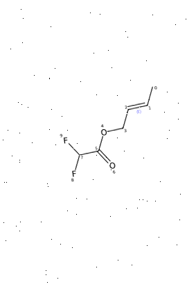 C/C=C/COC(=O)C(F)F